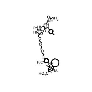 CCC1SC(C(=O)O)=C2SC1(C1(C)CCCCCCCCC1)C2(C)Nc1ccc(OCCOCCOCCOCC(=O)NC(C(=O)N[C@@H](CCCNC(N)=O)C(=O)Nc2ccc(C)cc2)C(C)C)c(C(F)(F)F)c1